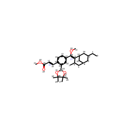 CCC1CC2CC(C)/C(=C(/OC)c3ccc(/C=C/C(=O)OC)c(B4OC(C)(C)C(C)(C)O4)c3)C(C1)C2